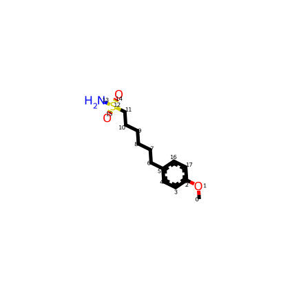 COc1ccc(CCCCCCS(N)(=O)=O)cc1